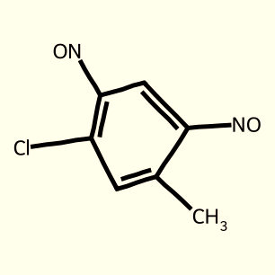 Cc1cc(Cl)c(N=O)cc1N=O